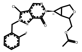 CC(=O)OCC1OCC2C1[C@H]2n1ncc2c(Cl)n(Cc3ccccc3F)nc2c1=O